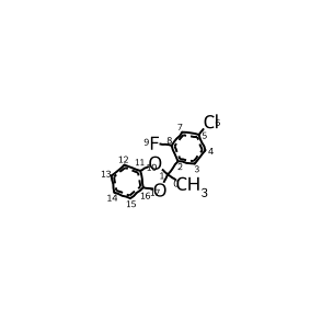 CC1(c2ccc(Cl)cc2F)Oc2ccccc2O1